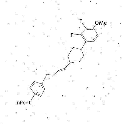 CCCCCc1ccc(CC/C=C/C2CCC(c3ccc(OC)c(F)c3F)CC2)cc1